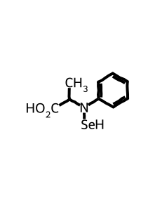 CC(C(=O)O)N([SeH])c1ccccc1